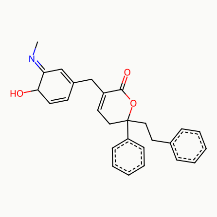 CN=C1C=C(CC2=CCC(CCc3ccccc3)(c3ccccc3)OC2=O)C=CC1O